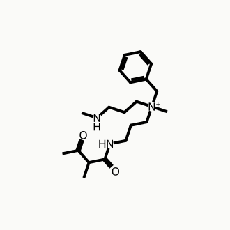 CNCCC[N+](C)(CCCNC(=O)C(C)C(C)=O)Cc1ccccc1